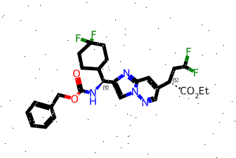 CCOC(=O)[C@@H](CC(F)F)c1cnn2cc([C@@H](NC(=O)OCc3ccccc3)C3CCC(F)(F)CC3)nc2c1